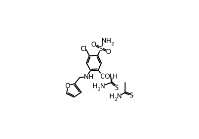 CC(N)=S.CC(N)=S.NS(=O)(=O)c1cc(C(=O)O)c(NCc2ccco2)cc1Cl